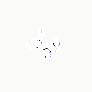 CCN(/C=C(C)/C(=N\C=N)N[C@@H]1CCOC1)C[C@@H](C)O